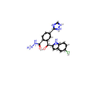 NNC(=O)c1ccc(-c2ncn[nH]2)cc1C(=O)c1cc2cc(Cl)ccc2[nH]1